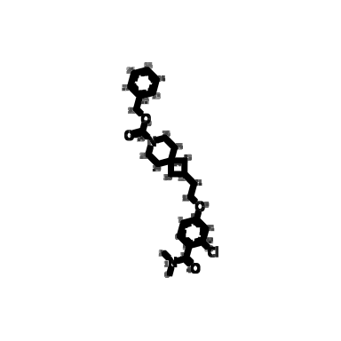 CN(C)C(=O)c1ccc(OCCC2CC3(CCN(C(=O)OCc4ccccc4)CC3)C2)cc1Cl